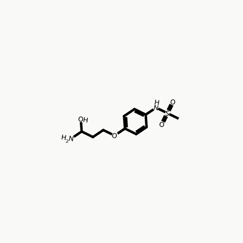 CS(=O)(=O)Nc1ccc(OCCC(N)O)cc1